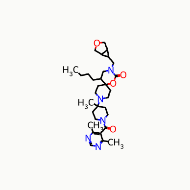 CCCCC1CN(CC2C3COCC32)C(=O)OC12CCN(C1(C)CCN(C(=O)c3c(C)ncnc3C)CC1)CC2